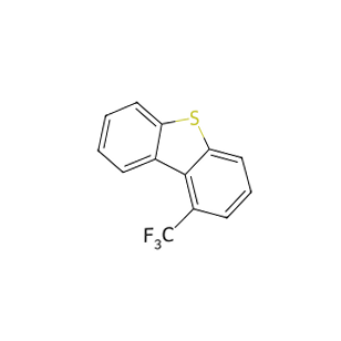 FC(F)(F)c1cccc2sc3ccccc3c12